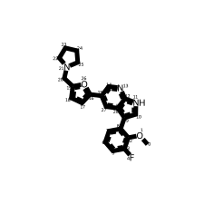 COc1c(F)cccc1-c1c[nH]c2ncc(-c3ccc(CN4CCCC4)o3)cc12